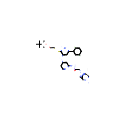 CN1C[C@H]2C[C@@H]1CN2CC(=O)Nc1cc(Nc2cc(-c3cc(Cl)ccc3F)nnc2SCCO[Si](C)(C)C(C)(C)C)ccn1